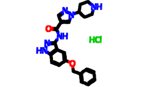 Cl.O=C(Nc1n[nH]c2ccc(OCc3ccccc3)cc12)c1cnn(C2CCNCC2)c1